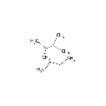 C=CCN.CC(C)C(C)C